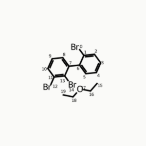 Brc1ccccc1-c1cccc(Br)c1Br.CCOCC